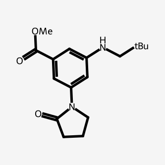 COC(=O)c1cc(NCC(C)(C)C)cc(N2CCCC2=O)c1